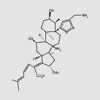 CC(=O)O[C@H]1C[C@@]2(C)[C@@H](C[C@@H](O)[C@@H]3[C@]2(N)CC[C@@]2(n4cc(CN)nn4)[C@H](C)[C@H](O)CC[C@]32C)/C1=C(\C=C/C=C(C)C)C(=O)O